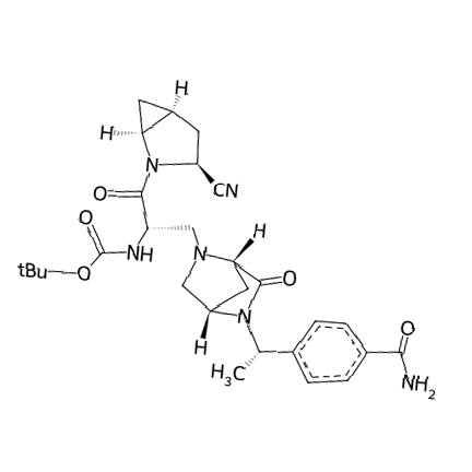 C[C@@H](c1ccc(C(N)=O)cc1)N1C(=O)[C@@H]2C[C@H]1CN2C[C@H](NC(=O)OC(C)(C)C)C(=O)N1[C@H](C#N)C[C@@H]2C[C@@H]21